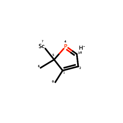 CC1=CC=P[C]1(C)[Sc].[H-]